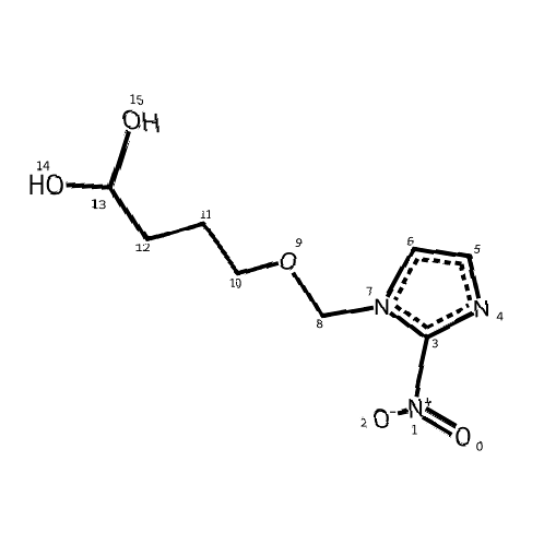 O=[N+]([O-])c1nccn1COCCCC(O)O